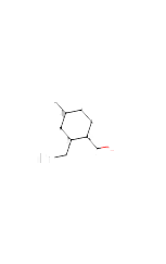 CC(C)CC1CC(C)CCC1CO